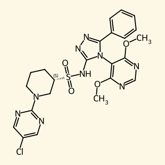 COc1ncnc(OC)c1-n1c(NS(=O)(=O)[C@H]2CCCN(c3ncc(Cl)cn3)C2)nnc1-c1ccccc1